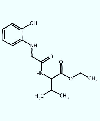 CCOC(=O)C(NC(=O)CNc1ccccc1O)C(C)C